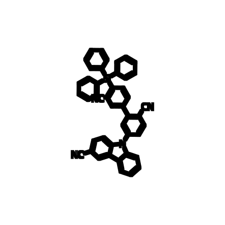 N#Cc1ccc2c(c1)c1ccccc1n2-c1ccc(C#N)c(-c2ccc([Si](c3ccccc3)(c3ccccc3)c3ccccc3)c(C#N)c2)c1